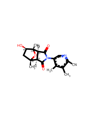 Cc1c(N2C(=O)[C@@H]3[C@H](C2=O)[C@]2(C)O[C@@]3(C)C[C@H]2O)cnc(C#N)c1C